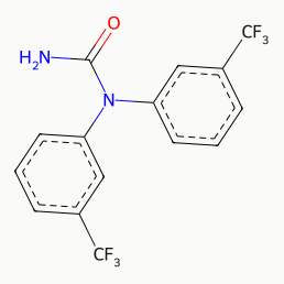 NC(=O)N(c1cccc(C(F)(F)F)c1)c1cccc(C(F)(F)F)c1